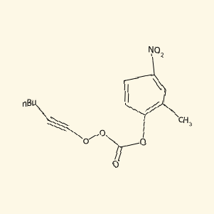 CCCCC#COOC(=O)Oc1ccc([N+](=O)[O-])cc1C